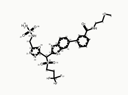 COCCNC(=O)c1cccc(-c2ccc3nc(C(c4nnc(CNS(N)(=O)=O)o4)S(=O)(=O)CCC(F)(F)F)sc3c2)c1